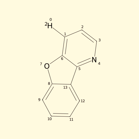 [2H]c1ccnc2c1oc1ccccc12